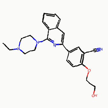 CCN1CCN(c2nc(-c3ccc(OCCO)c(C#N)c3)cc3ccccc23)CC1